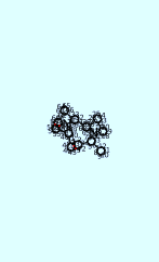 c1ccc(-c2cc(-c3ccccc3)cc(N3c4ccccc4-c4ccccc4-c4cc(-c5ccc6c(c5)N(c5ccc(-c7ccccc7)cc5-c5ccccc5)c5ccccc5-c5ccccc5-6)ccc43)c2)cc1